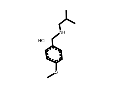 COc1ccc(CNCC(C)C)cc1.Cl